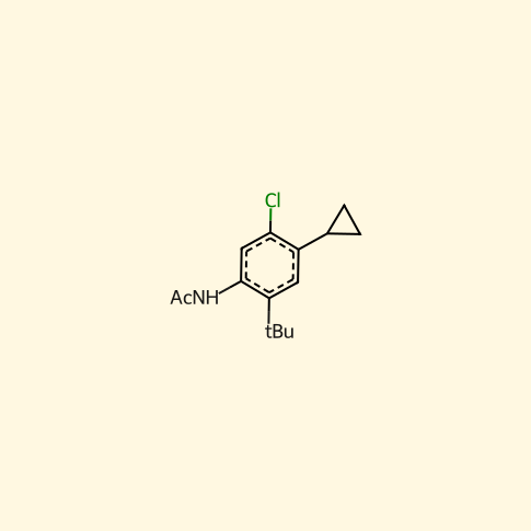 CC(=O)Nc1cc(Cl)c(C2CC2)cc1C(C)(C)C